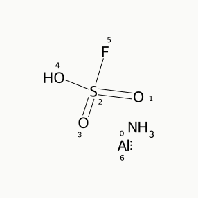 N.O=S(=O)(O)F.[Al]